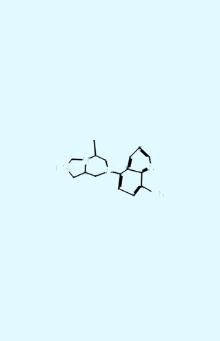 CC1CN(c2ccc(C#N)c3ncccc23)CC2CNCN12